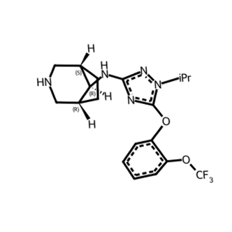 CC(C)n1nc(N[C@H]2[C@@H]3CC[C@H]2CNC3)nc1Oc1ccccc1OC(F)(F)F